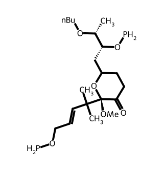 CCCCO[C@H](C)[C@@H](CC1CCC(=O)[C@](OC)(C(C)(C)/C=C/COP)O1)OP